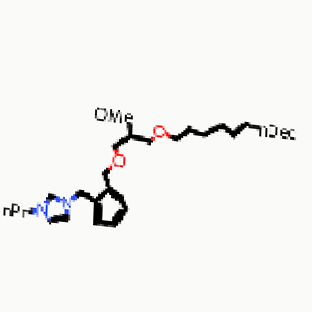 CCCCCCCCCCCCCCCCOCC(COCc1ccccc1CN1C=CN(CCC)C1)OC